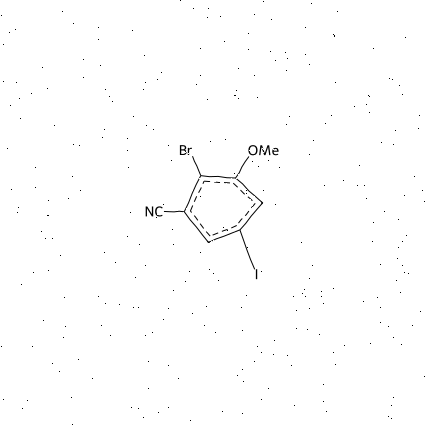 COc1cc(I)cc(C#N)c1Br